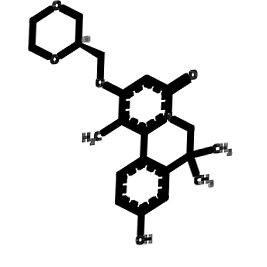 Cc1c(OC[C@@H]2COCCO2)cc(=O)n2c1-c1ccc(O)cc1C(C)(C)C2